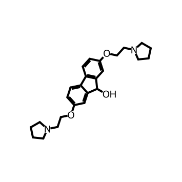 OC1c2cc(OCCN3CCCC3)ccc2-c2ccc(OCCN3CCCC3)cc21